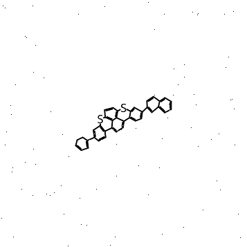 C1=CCCC(c2ccc3c(c2)Sc2ccc4c5c(ccc-3c25)-c2ccc(-c3ccc5ccccc5c3)cc2S4)=C1